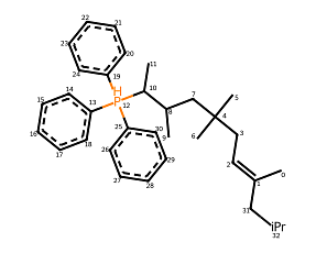 C/C(=C\CC(C)(C)CC(C)C(C)[PH](c1ccccc1)(c1ccccc1)c1ccccc1)CC(C)C